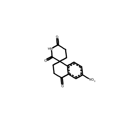 O=C1CCC2(CCC(=O)c3cc([N+](=O)[O-])ccc32)C(=O)N1